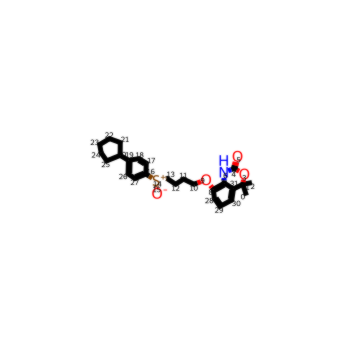 CC1(C)OC(=O)Nc2c(OCCCC[S+]([O-])c3ccc(C4CCCCC4)cc3)cccc21